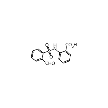 O=Cc1ccccc1S(=O)(=O)Nc1ccccc1C(=O)O